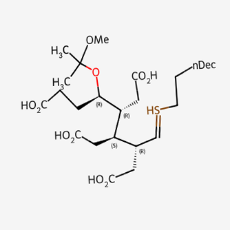 CCCCCCCCCCCC[SH]=C[C@H](CC(=O)O)[C@@H](CC(=O)O)[C@@H](CC(=O)O)[C@@H](CCC(=O)O)OC(C)(C)OC